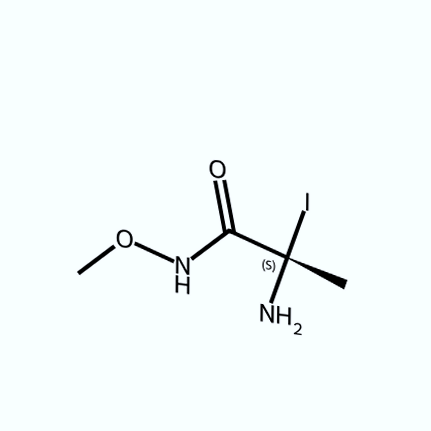 CONC(=O)[C@@](C)(N)I